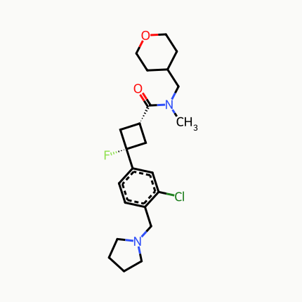 CN(CC1CCOCC1)C(=O)[C@H]1C[C@](F)(c2ccc(CN3CCCC3)c(Cl)c2)C1